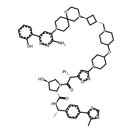 Cc1ncsc1-c1ccc([C@H](C)NC(=O)[C@@H]2C[C@@H](O)CN2C(=O)[C@@H](c2cc(N3CCC(OC4CCN(C[C@H]5C[C@H](N6CCOC7(CCN(c8cc(-c9ccccc9O)nnc8N)CC7)C6)C5)CC4)CC3)no2)C(C)C)cc1